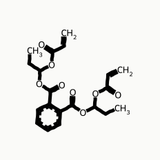 C=CC(=O)OC(CC)OC(=O)c1ccccc1C(=O)OC(CC)OC(=O)C=C